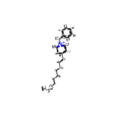 CCCCCCCCc1cc[n+](Cc2ccccc2)cc1